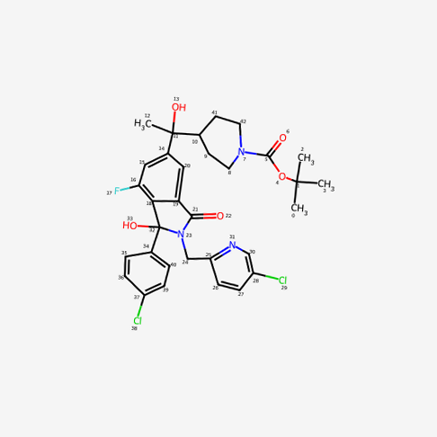 CC(C)(C)OC(=O)N1CCC(C(C)(O)c2cc(F)c3c(c2)C(=O)N(Cc2ccc(Cl)cn2)C3(O)c2ccc(Cl)cc2)CC1